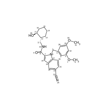 COc1cc(Cn2c(C(=O)NC[C@H]3CCCC[C@@H]3O)cc3cc(C#N)ccc32)cc(OC)c1